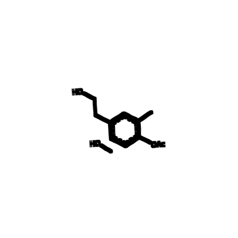 CC(=O)Oc1ccc(CCO)cc1C.CO